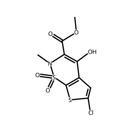 COC(=O)C1=C(O)c2cc(Cl)sc2S(=O)(=O)N1C